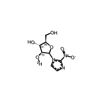 [2H]O[C@@H]1C(n2ccnc2[N+](=O)[O-])O[C@H](CO)[C@H]1O